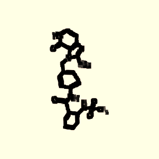 CCCCc1nc2cc[nH]c(=O)c2n1Cc1ccc(NC(=O)c2ccccc2NS(=O)(=O)C(F)(F)F)cc1